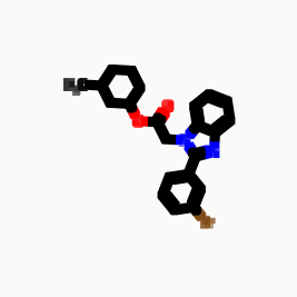 CC1CCCC(OC(=O)Cn2c(-c3cccc(Br)c3)nc3ccccc32)C1